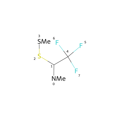 CNC(SSC)C(F)(F)F